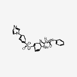 O=C(Nc1ccccc1)Nc1nc2cc(OS(=O)(=O)c3ccc(-n4ccnc4)cc3)ccc2[nH]1